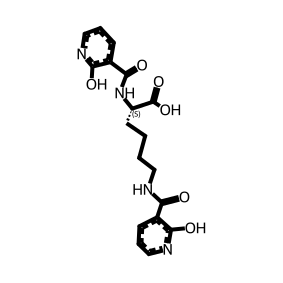 O=C(NCCCC[C@H](NC(=O)c1cccnc1O)C(=O)O)c1cccnc1O